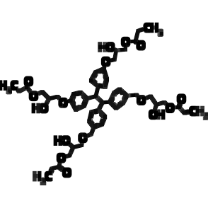 C=CC(=O)OCC(O)COCc1ccc(C(c2ccc(COCC(O)COC(=O)C=C)cc2)C(c2ccc(OCC(O)COC(=O)CC)cc2)c2ccc(OCC(O)COC(=O)CC)cc2)cc1